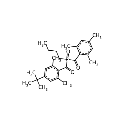 CCCCP(=O)(C(=O)c1c(C)cc(C)cc1C)C(=O)c1c(C)cc(C(C)(C)C)cc1C